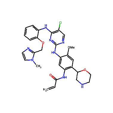 C=CC(=O)Nc1cc(Nc2ncc(Cl)c(Nc3ccccc3OCc3nccn3C)n2)c(OC)cc1C1CNCCO1